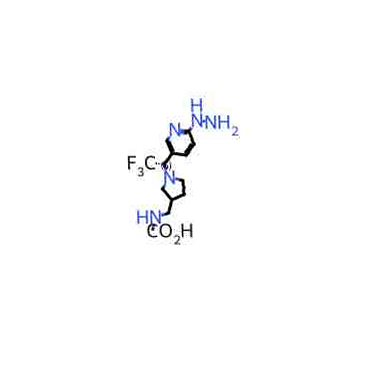 NNc1ccc([C@H](N2CCC(CNC(=O)O)C2)C(F)(F)F)cn1